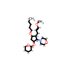 CCCCCOC1CC(OC2CCCCO2)C(N2CCOCC2)C1CC=COC